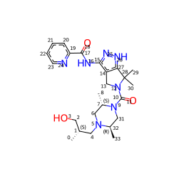 C[C@H](CO)CN1C[C@H](C)N(C(=O)N2Cc3c(NC(=O)c4ccccn4)n[nH]c3C2(C)C)C[C@H]1C